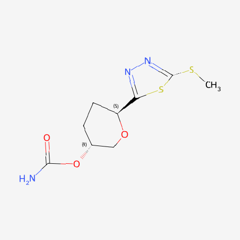 CSc1nnc([C@@H]2CC[C@@H](OC(N)=O)CO2)s1